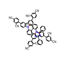 N#Cc1ccc(-c2ccc3c(c2)c2cc(-c4ccc(C#N)cc4C#N)ccc2n3-c2cccc(-c3nc(-c4ccccc4)nc(-c4ccccc4)n3)c2-c2c(-n3c4ccc(-c5ccc(C#N)cc5C#N)cc4c4cc(-c5ccc(C#N)cc5C#N)ccc43)cccc2C(F)(F)F)c(C#N)c1